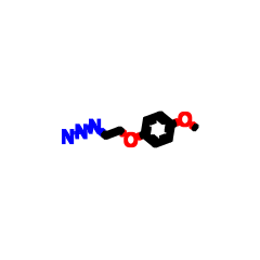 COc1ccc(OCCN=[N+]=[N-])cc1